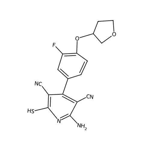 N#Cc1c(N)nc(S)c(C#N)c1-c1ccc(OC2CCOC2)c(F)c1